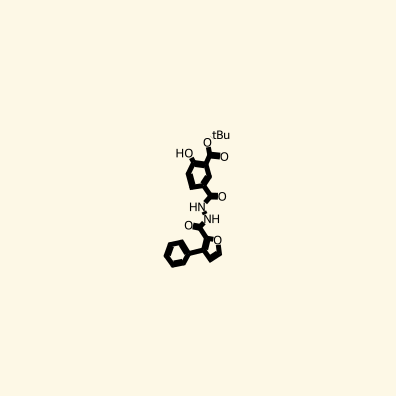 CC(C)(C)OC(=O)c1cc(C(=O)NNC(=O)c2occc2-c2ccccc2)ccc1O